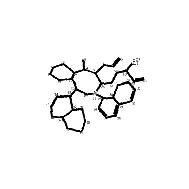 C=CCC1C(C)C2CCCCC2C(C2CCCC3CCCCC32)CN(C2C=CC=C3C=CCCC32)C1CCC(C=C)CC